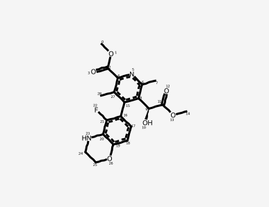 COC(=O)c1nc(C)c([C@H](O)C(=O)OC)c(-c2ccc3c(c2F)NCCO3)c1C